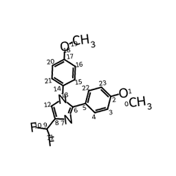 COc1ccc(-c2nc(C(F)F)cn2-c2ccc(OC)cc2)cc1